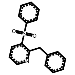 O=S(=O)(c1ccccc1)c1cccnc1Cc1ccccc1